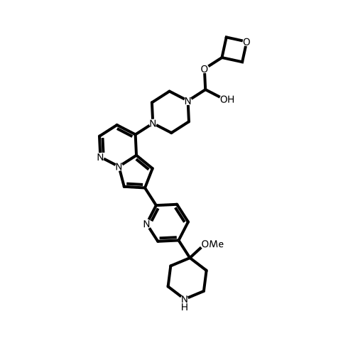 COC1(c2ccc(-c3cc4c(N5CCN(C(O)OC6COC6)CC5)ccnn4c3)nc2)CCNCC1